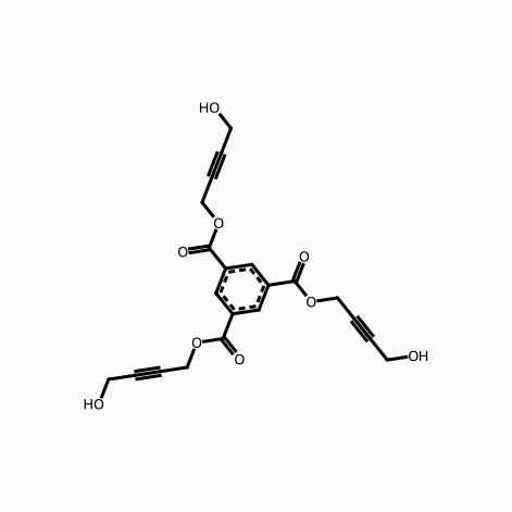 O=C(OCC#CCO)c1cc(C(=O)OCC#CCO)cc(C(=O)OCC#CCO)c1